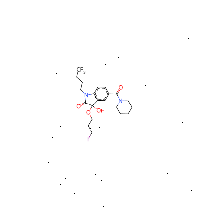 O=C(c1ccc2c(c1)C(O)(OCCCI)C(=O)N2CCCC(F)(F)F)N1CCCCC1